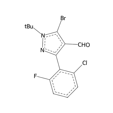 CC(C)(C)n1nc(-c2c(F)cccc2Cl)c(C=O)c1Br